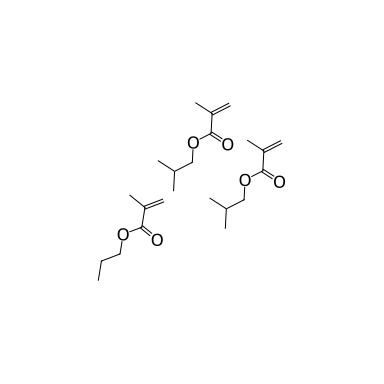 C=C(C)C(=O)OCC(C)C.C=C(C)C(=O)OCC(C)C.C=C(C)C(=O)OCCC